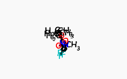 Cn1c(=O)n(CCCO[Si](C)(C)C(C)(C)C)c(=O)c2cc(C(F)(F)F)ccc21